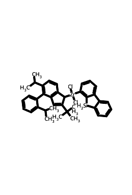 CC(C)c1ccccc1-c1c(C(C)C)ccc2c1C=C(C(C)(C)C)[CH]2[Zr]([Cl])([Cl])[c]1cccc2c1[SiH2]c1ccccc1-2